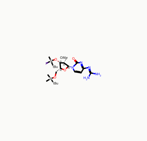 CO[C@H]1[C@@H](O[Si](C)(I)C(C)(C)C)[C@@H](CO[Si](C)(C)C(C)(C)C)O[C@H]1n1ccc(N=C(N)N)nc1=O